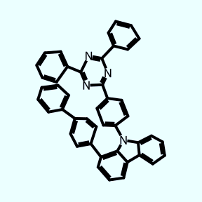 c1ccc(-c2ccc(-c3cccc4c5ccccc5n(-c5ccc(-c6nc(-c7ccccc7)nc(-c7ccccc7)n6)cc5)c34)cc2)cc1